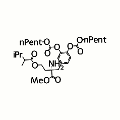 CCCCCOC(=O)Oc1ccc(C[C@](N)(CCOC(=O)C(C)C(C)C)C(=O)OC)cc1OC(=O)OCCCCC